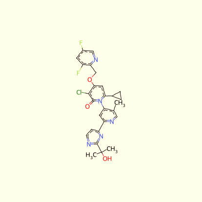 Cc1cnc(-c2ccnc(C(C)(C)O)n2)cc1-n1c(C2CC2)cc(OCc2ncc(F)cc2F)c(Cl)c1=O